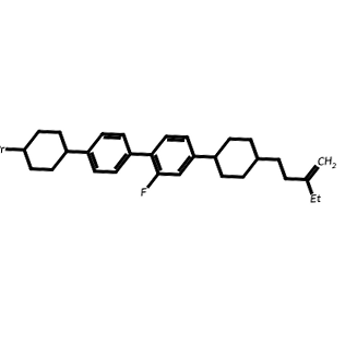 C=C(CC)CCC1CCC(c2ccc(-c3ccc(C4CCC(CCC)CC4)cc3)c(F)c2)CC1